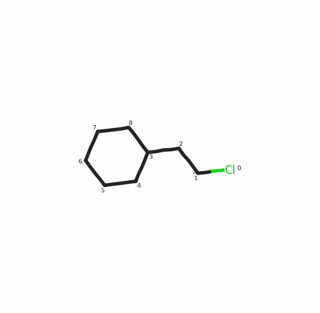 Cl[CH]CC1CCCCC1